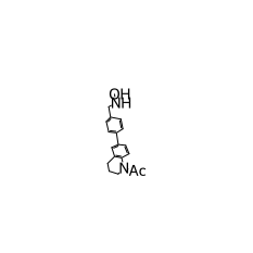 CC(=O)N1CCCc2cc(-c3ccc(CNO)cc3)ccc21